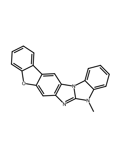 Cn1c2ccccc2n2c3cc4c(cc3nc12)oc1ccccc14